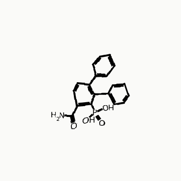 NC(=O)c1ccc(-c2ccccc2)c(-c2ccccc2)c1P(=O)(O)O